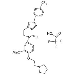 COc1cc(N2CCn3cc(-c4ccc(C(F)(F)F)cc4)cc3C2=O)ccc1OCCN1CCCC1.O=C(O)C(F)(F)F